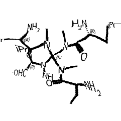 CC(C)C[C@@H](N)C(=O)N(C)[C@](N(C)C(=O)C(C)N)(N(C)C(=O)[C@H](N)C(C)C)N(N)[C@@H]([C]=O)C(C)C